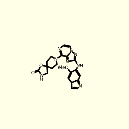 COC1=CC2C=CN=C2C=C1Nc1nc2c(N3CCC4(CC3)CNC(=O)O4)nccn2n1